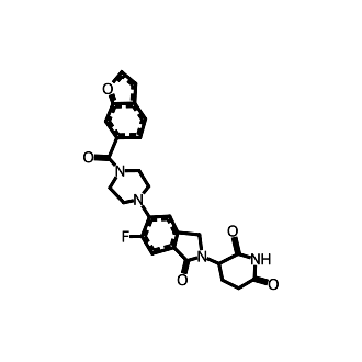 O=C1CCC(N2Cc3cc(N4CCN(C(=O)c5ccc6ccoc6c5)CC4)c(F)cc3C2=O)C(=O)N1